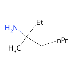 C[CH]CCC(C)(N)CC